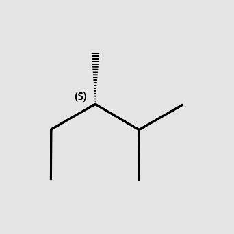 CC[C@H](C)C(C)C